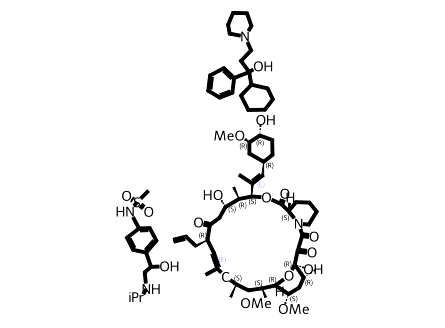 C=CC[C@@H]1/C=C(\C)C[C@H](C)C[C@H](OC)[C@H]2O[C@@](O)(C(=O)C(=O)N3CCCC[C@H]3C(=O)O[C@H](/C(C)=C/[C@@H]3CC[C@@H](O)[C@H](OC)C3)[C@H](C)[C@@H](O)CC1=O)[C@H](C)C[C@@H]2OC.CC(C)NCC(O)c1ccc(NS(C)(=O)=O)cc1.OC(CCN1CCCCC1)(c1ccccc1)C1CCCCC1